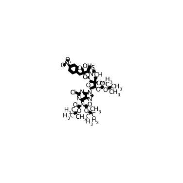 C#C[C@@]1(O)[C@@H](COC(Cc2ccc([N+](=O)[O-])cc2)(C(=O)O)c2cscn2)O[C@@H](n2cnc3c(N(C(=O)OC(C)(C)C)C(=O)OC(C)(C)C)nc(Cl)nc32)[C@@H]1OC(=O)OC(C)(C)C